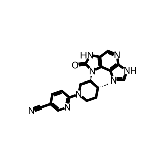 C[C@@H]1CCN(c2ccc(C#N)cn2)C[C@@H]1n1c(=O)[nH]c2cnc3[nH]cnc3c21